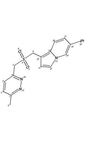 Cc1ccc(CS(=O)(=O)Cc2ccn3cc(C(C)C)ccc23)nn1